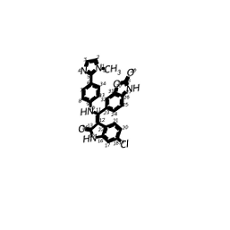 Cn1ccnc1-c1ccc(N/C(=C2\C(=O)Nc3cc(Cl)ccc32)c2ccc3[nH]c(=O)oc3c2)cc1